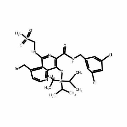 CC(C)[Si](Oc1c(C(=O)NCc2cc(Cl)cc(Cl)c2)nc(NCS(C)(=O)=O)c2c(CBr)ccnc12)(C(C)C)C(C)C